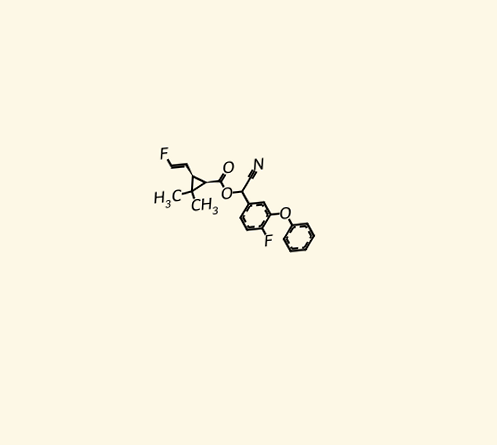 CC1(C)[C@H](C(=O)OC(C#N)c2ccc(F)c(Oc3ccccc3)c2)[C@@H]1/C=C/F